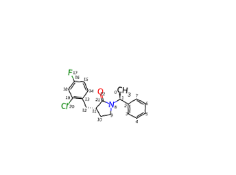 C[C@@H](c1ccccc1)N1CC[C@H](Cc2ccc(F)cc2Cl)C1=O